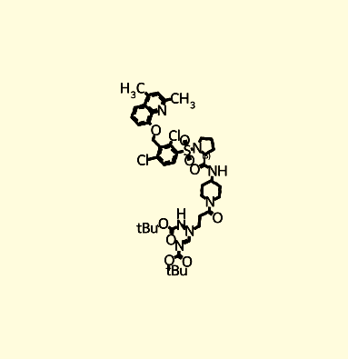 Cc1cc(C)c2cccc(OCc3c(Cl)ccc(S(=O)(=O)N4CCC[C@H]4C(=O)NC4CCN(C(=O)CCN(C=NC(=O)OC(C)(C)C)NC(=O)OC(C)(C)C)CC4)c3Cl)c2n1